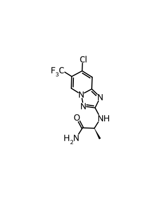 C[C@H](Nc1nc2cc(Cl)c(C(F)(F)F)cn2n1)C(N)=O